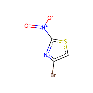 O=[N+]([O-])c1nc(Br)cs1